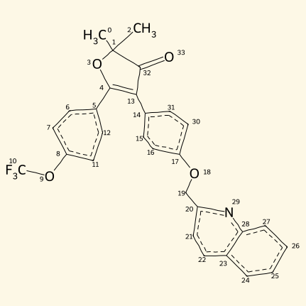 CC1(C)OC(c2ccc(OC(F)(F)F)cc2)=C(c2ccc(OCc3ccc4ccccc4n3)cc2)C1=O